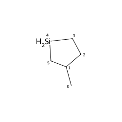 CC1CC[SiH2]C1